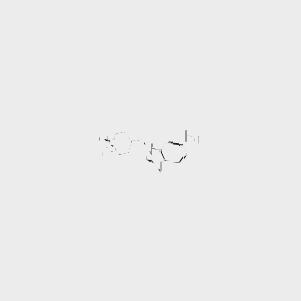 O=S1(=O)CCC(Cn2cnc3ccc(Br)cc32)CC1